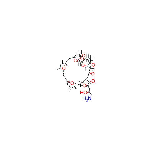 C=C1C[C@@H]2CC[C@@]34C[C@@H]5O[C@@H]6[C@@H](O[C@H]7CCC(CC(=O)CC8[C@H](CC9O[C@@H](CCC1O2)C[C@@H](C)C9=C)O[C@H](C[C@H](O)CN)[C@@H]8OC)O[C@@H]7[C@@H]6O3)[C@H]5O4